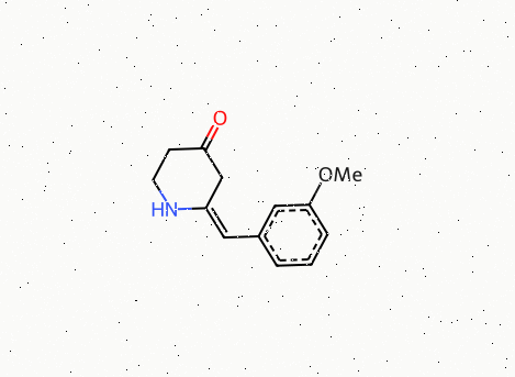 COc1cccc(C=C2CC(=O)CCN2)c1